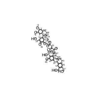 COc1cc2c(cc1OC)[C@H](c1cc(CO)c(OC)c(OC)c1)[N@@+](C)(CCCOC(=O)/C=C(\Cl)C(=O)OCCC[N@+]1(C)CCc3cc(CO)c(CO)cc3[C@H]1Cc1cc(CO)c(CO)c(OC)c1)CC2